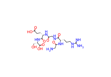 N=C(N)NCCC[C@H](NC(=O)CN)C(=O)NCC(=O)N[C@@H](CCC(=O)O)C(=O)N[C@@H](CO)C(=O)O